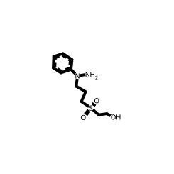 NN(CCCS(=O)(=O)CCO)c1ccccc1